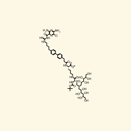 COC(=O)[C@H](CCCCNC(=O)[C@H](CCN(C[C@H](O)[C@@H](O)[C@H](O)[C@H](O)CO)C[C@H](O)[C@@H](O)[C@H](O)[C@H](O)CO)NC(=O)OC(C)(C)C)NC(=O)CCc1ccc(-c2ccc(CCCCNC(=N)NC(=O)c3nc(Cl)c(N)nc3N)cc2)cc1